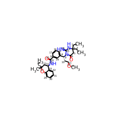 CCC1(CC)CC(=O)N([C@H](CCOC)c2cccc(C(=O)NC3CC(C)(C)Oc4ccccc43)c2)C(=N)N1